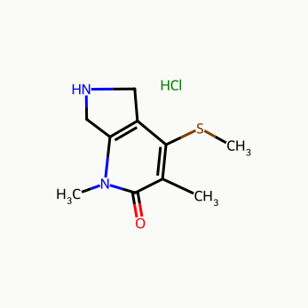 CSc1c2c(n(C)c(=O)c1C)CNC2.Cl